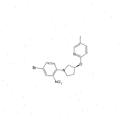 Cc1ccc(O[C@H]2CCN(c3ccc(Br)cc3[N+](=O)[O-])C2)nc1